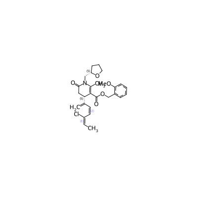 C=C(/C=C\C(Cl)=C/C)[C@@H]1CC(=O)N(C[C@@H]2CCCO2)C(C)=C1C(=O)OCc1ccccc1OC